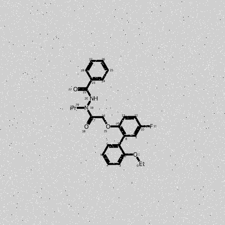 CCOc1ccccc1-c1cc(F)ccc1OCC(=O)N(NC(=O)c1ccccc1)C(C)C